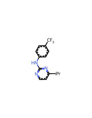 CC(C)c1ccnc(Nc2ccc(C(F)(F)F)cc2)n1